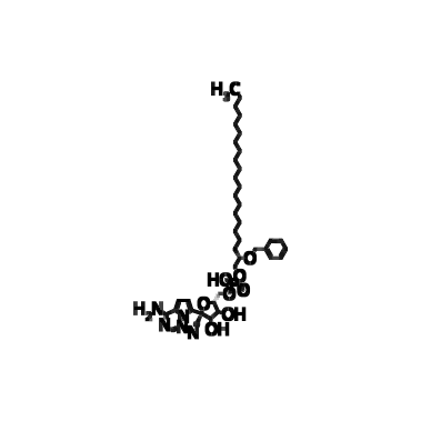 CCCCCCCCCCCCCCCCCCC[C@H](COP(=O)(O)OC[C@H]1O[C@@](C#N)(c2ccc3c(N)ncnn23)[C@H](O)[C@@H]1O)OCc1ccccc1